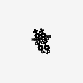 COc1ccc(C(=O)CC(OO)(OOC(CC(=O)c2ccc(OC)cc2)(OO)c2ccc(C(C)(C)C)cc2)c2ccc(C(C)(C)C)cc2)cc1